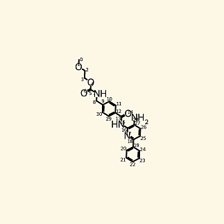 COCCOC(=O)NCc1ccc(C(=O)Nc2nc(-c3ccccc3)ccc2N)cc1